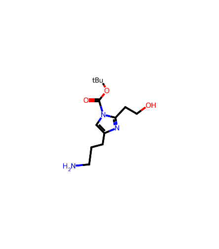 CC(C)(C)OC(=O)n1cc(CCCN)nc1CCO